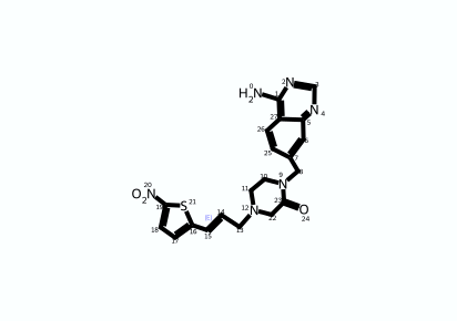 Nc1ncnc2cc(CN3CCN(C/C=C/c4ccc([N+](=O)[O-])s4)CC3=O)ccc12